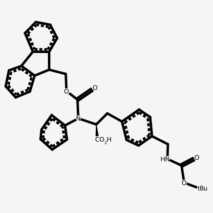 CC(C)(C)OC(=O)NCc1ccc(C[C@@H](C(=O)O)N(C(=O)OCC2c3ccccc3-c3ccccc32)c2ccccc2)cc1